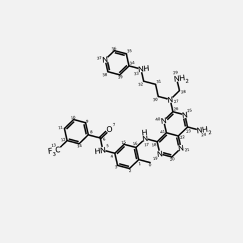 Cc1ccc(NC(=O)c2cccc(C(F)(F)F)c2)cc1Nc1ncnc2c(N)nc(N(CN)CCCNc3ccncc3)nc12